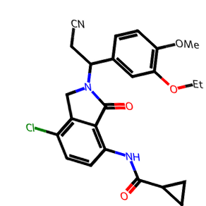 CCOc1cc(C(CC#N)N2Cc3c(Cl)ccc(NC(=O)C4CC4)c3C2=O)ccc1OC